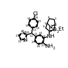 CCOC(=O)N1C2CCC1CC(Nc1cc(C(c3ccc(Cl)cc3)c3nccs3)ccc1N)C2